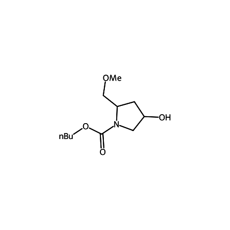 CCCCOC(=O)N1CC(O)CC1COC